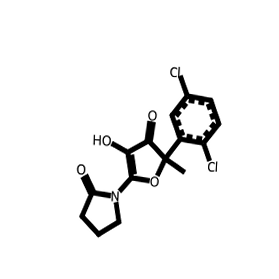 CC1(c2cc(Cl)ccc2Cl)OC(N2CCCC2=O)=C(O)C1=O